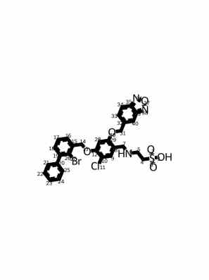 O=S(=O)(O)CCNCc1cc(Cl)c(OCc2cccc(-c3ccccc3)c2Br)cc1OCc1ccc2nonc2c1